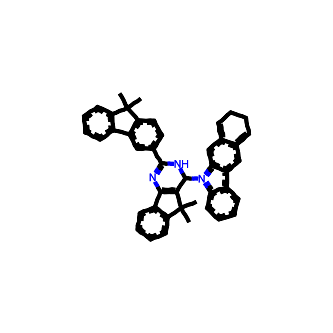 CC1(C)C2=C(N=C(c3ccc4c(c3)-c3ccccc3C4(C)C)NC2n2c3ccccc3c3cc4c(cc32)=CCCC=4)c2ccccc21